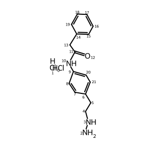 Cl.Cl.NNCCc1ccc(NC(=O)Cc2ccccc2)cc1